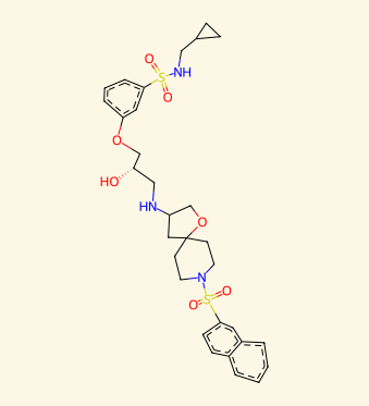 O=S(=O)(NCC1CC1)c1cccc(OC[C@@H](O)CNC2COC3(CCN(S(=O)(=O)c4ccc5ccccc5c4)CC3)C2)c1